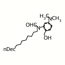 CCCCCCCCCCCCCCCCCCN(C=O)c1cc(N(C)C)ccc1CO